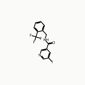 O=C(NCc1ccccc1C(F)(F)F)c1cncc(I)c1